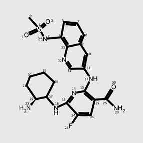 CS(=O)(=O)Nc1cccc2cc(Nc3nc(NC4CCCC[C@@H]4N)c(F)cc3C(N)=O)cnc12